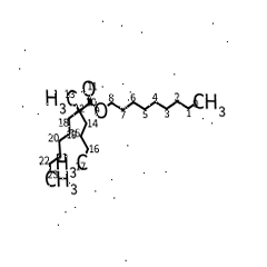 CCCCCCCCCOC(=O)C(C)(CCCC)CCCCCC